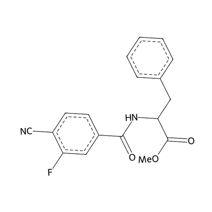 COC(=O)C(Cc1ccccc1)NC(=O)c1ccc(C#N)c(F)c1